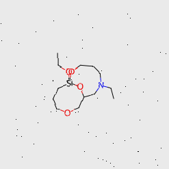 CCO[Si]12CCCOCC(CN(CC)CCCO1)O2